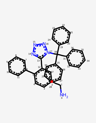 NCc1ccc(-c2ccccc2)c(-c2nnnn2C(c2ccccc2)(c2ccccc2)c2ccccc2)c1